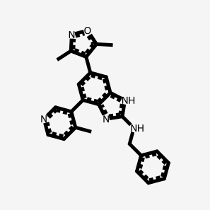 Cc1ccncc1-c1cc(-c2c(C)noc2C)cc2[nH]c(NCc3ccccc3)nc12